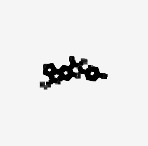 CCN(Cc1ccc(Br)cn1)C(=O)c1cc2c3c(c(N)nc2cc1Cl)COC3